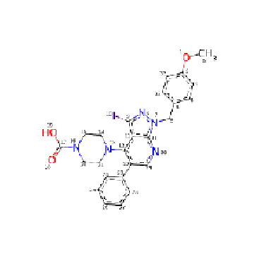 COc1ccc(Cn2nc(I)c3c(N4CCN(C(=O)O)CC4)c(-c4ccccc4)cnc32)cc1